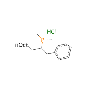 CCCCCCCCCC(Cc1ccccc1)P(C)C.Cl